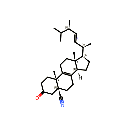 CC(C)[C@@H](C)/C=C/[C@@H](C)[C@H]1CC[C@H]2C3=C(CC[C@]12C)[C@@]1(C)CCC(=O)C[C@@]1(C#N)CC3